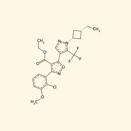 CCOC(=O)c1c(-c2cccc(OC)c2Cl)noc1-c1cnn([C@H]2C[C@@H](CC)C2)c1C(F)(F)F